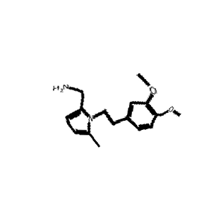 COc1ccc(CCn2c(C)ccc2CN)cc1OC